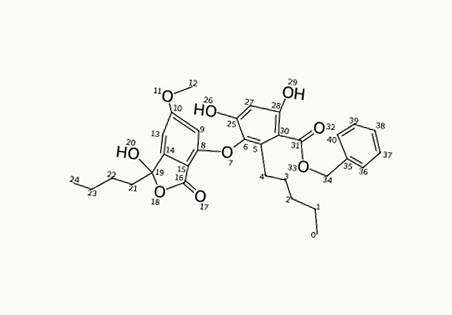 CCCCCc1c(Oc2cc(OC)cc3c2C(=O)OC3(O)CCCC)c(O)cc(O)c1C(=O)OCc1ccccc1